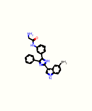 Bc1ccc2[nH]cc(-c3nc(-c4ccccc4)c(-c4cccc(NC(=O)CN)c4)[nH]3)c2c1